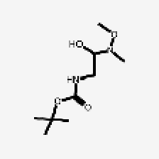 CON(C)C(O)CNC(=O)OC(C)(C)C